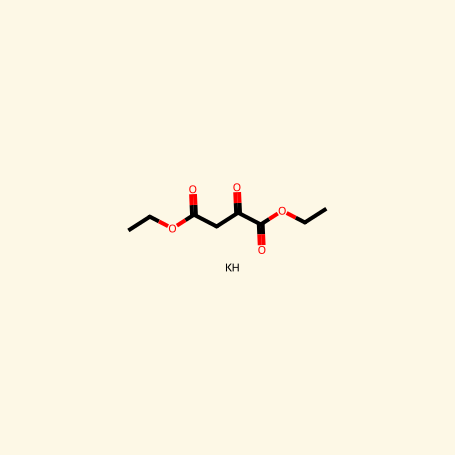 CCOC(=O)CC(=O)C(=O)OCC.[KH]